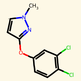 Cn1[c]cc(Oc2ccc(Cl)c(Cl)c2)n1